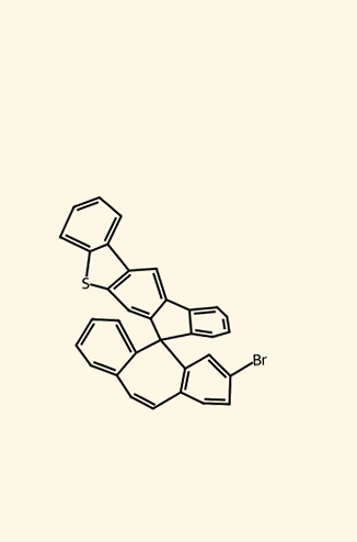 Brc1ccc2c(c1)C1(c3ccccc3C=C2)c2ccccc2-c2cc3c(cc21)sc1ccccc13